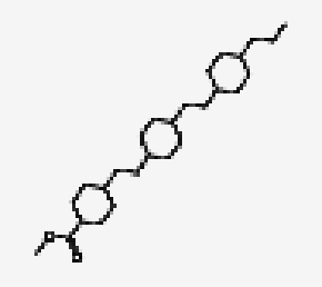 CCCC1CCC(CCC2CCC(CCC3CCC(C(=O)OC)CC3)CC2)CC1